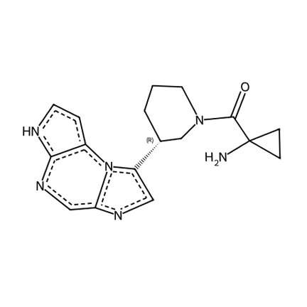 NC1(C(=O)N2CCC[C@@H](c3cnc4cnc5[nH]ccc5n34)C2)CC1